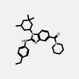 CCc1ccc(Nc2nc3cc(C(=O)N4CCCCC4)ccc3n2C2CC(C)CC(C)(C)C2)cc1